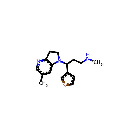 CNCCC(c1ccsc1)N1CCc2ncc(C)cc21